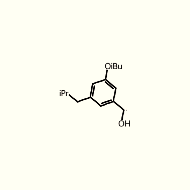 CC(C)COc1cc([CH]O)cc(CC(C)C)c1